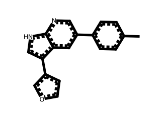 Cc1ccc(-c2cnc3[nH]cc(-c4ccoc4)c3c2)cc1